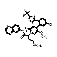 COCCC(C(=O)Nc1ccc2nccnc2c1)n1cc(OC)c(-c2cc(Cl)ccc2-c2nnc(C(F)(F)F)o2)cc1=O